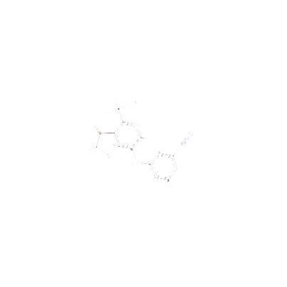 N#Cc1cc(F)cc(Oc2cnc(C(F)(F)F)c3c2CC(F)C3=O)c1